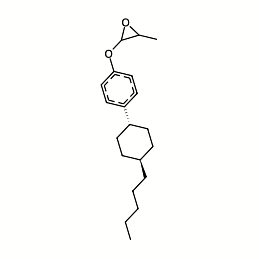 CCCCC[C@H]1CC[C@H](c2ccc(OC3OC3C)cc2)CC1